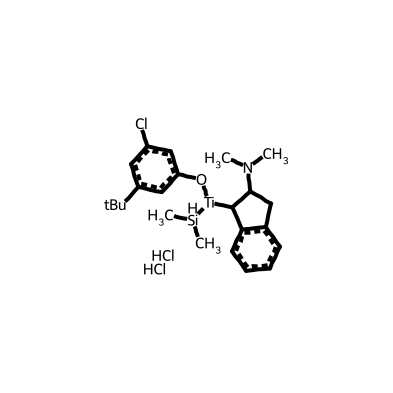 CN(C)C1Cc2ccccc2[CH]1[Ti]([O]c1cc(Cl)cc(C(C)(C)C)c1)[SiH](C)C.Cl.Cl